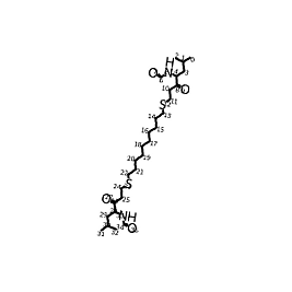 CC(C)CC(NC=O)C(=O)CCSCCCCCCCCCCSCCC(=O)C(CC(C)C)NC=O